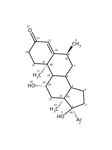 CC(=O)[C@@]1(O)CCC2C3C[C@H](C)C4=CC(=O)CC[C@]4(C)C3[C@@H](O)C[C@@]21C